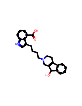 O=C(O)c1cccc2[nH]cc(CCCCN3CCC4=C(C3)C(O)c3ccccc34)c12